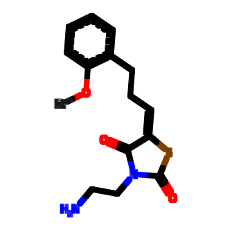 CCOc1ccccc1CC/C=C1/SC(=O)N(CCN)C1=O